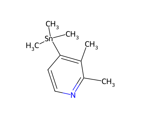 Cc1ncc[c]([Sn]([CH3])([CH3])[CH3])c1C